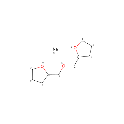 C1COC(COCC2CCCO2)C1.[Na]